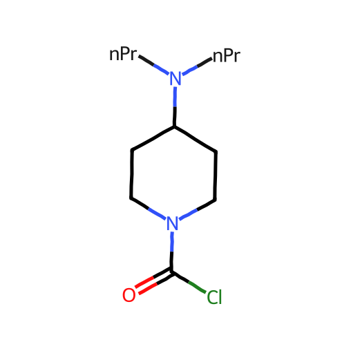 CCCN(CCC)C1CCN(C(=O)Cl)CC1